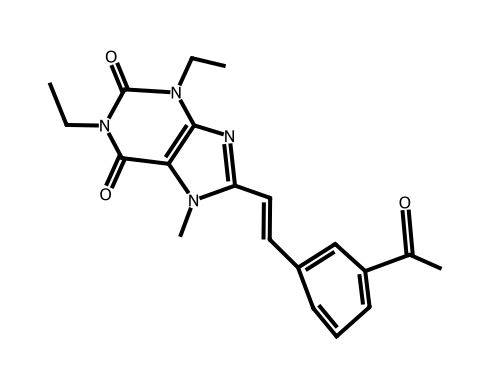 CCn1c(=O)c2c(nc(/C=C/c3cccc(C(C)=O)c3)n2C)n(CC)c1=O